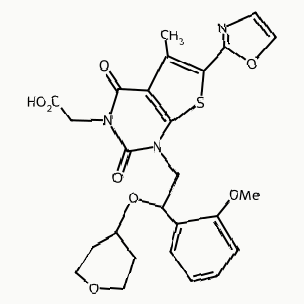 COc1ccccc1C(Cn1c(=O)n(CC(=O)O)c(=O)c2c(C)c(-c3ncco3)sc21)OC1CCOCC1